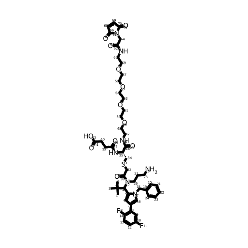 CC(C)(C)C(c1cc(-c2cc(F)ccc2F)cn1Cc1ccccc1)N(CCCN)C(=O)CSC[C@H](NC(=O)CCC(=O)O)C(=O)NCCOCCOCCOCCOCCNC(=O)CN1C(=O)C=CC1=O